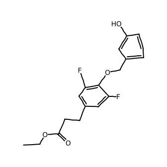 CCOC(=O)CCc1cc(F)c(OCc2cccc(O)c2)c(F)c1